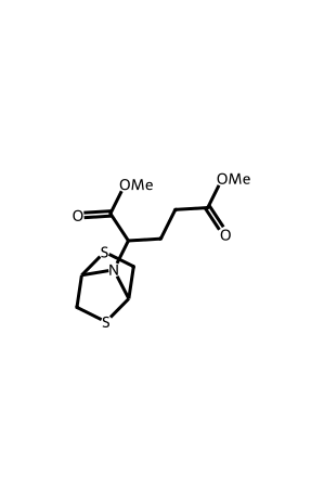 COC(=O)CCC(C(=O)OC)N1C2CSC1CS2